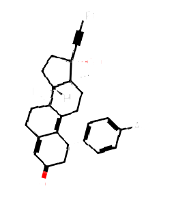 CC(=O)c1ccc([C@@H]2CC(=O)C=C3CC[C@@H]4C(=C32)CC[C@@]2(C)[C@H]4CC[C@@]2(O)C#CC(C)C)cc1